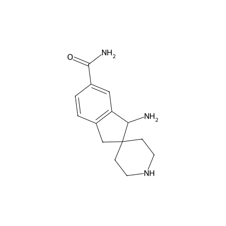 NC(=O)c1ccc2c(c1)C(N)C1(CCNCC1)C2